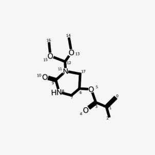 C=C(C)C(=O)OC1CNC(=O)N(C(OC)OC)C1